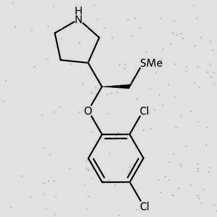 CSC[C@@H](Oc1ccc(Cl)cc1Cl)C1CCNC1